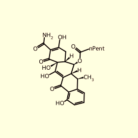 CCCCCC(=O)O[C@H]1[C@H]2C(=C(O)[C@]3(O)C(=O)C(C(N)=O)=C(O)C[C@H]13)C(=O)c1c(O)cccc1[C@@H]2C